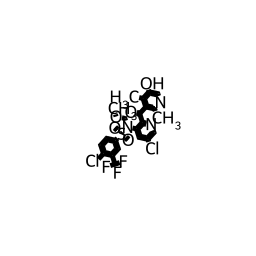 COCN(c1cc(Cl)cnc1C(=O)c1c(C)ncc(O)c1C)S(=O)(=O)c1ccc(Cl)c(C(F)(F)F)c1